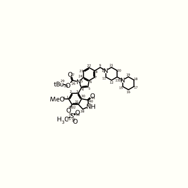 COc1cc(-c2cc3cc(CN4CCC(N5CCCCC5)CC4)ccc3n2C(=O)OC(C)(C)C)c2c(c1OS(C)(=O)=O)CNC2=O